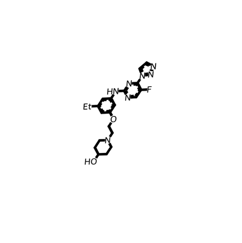 CCc1cc(Nc2ncc(F)c(-n3ccnn3)n2)cc(OCCN2CCC(O)CC2)c1